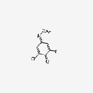 CC(=O)ON=C1C=C(Cl)C(=O)C(Cl)=C1